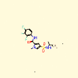 C[C@H](NS(=O)(=O)c1cc(C(=O)Nc2ccc(F)c(F)c2F)n(C)c1)C(F)(F)F